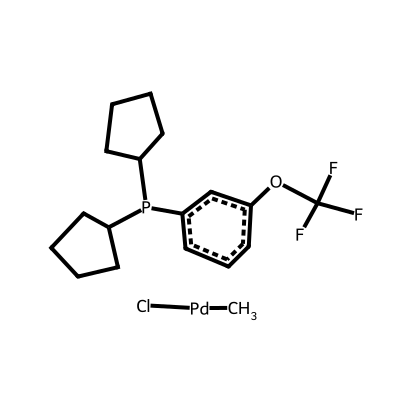 FC(F)(F)Oc1cccc(P(C2CCCC2)C2CCCC2)c1.[CH3][Pd][Cl]